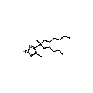 CCCCCCC(C)(CCCCC)c1n[nH]cc1C